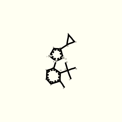 Cc1cccc(-n2ncc(C3CC3)n2)c1C(C)(C)C